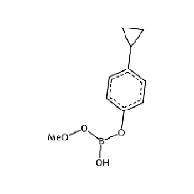 COOB(O)Oc1ccc(C2CC2)cc1